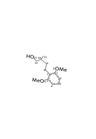 COc1cccc(OC)c1CCC(C)CO